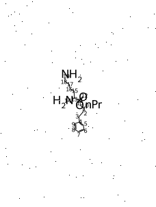 CCC[C@H](CCc1ccccc1)OC(=O)C(N)CCCCN